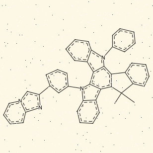 CC1(C)c2ccccc2-c2c1c1c3ccccc3n(-c3cccc(-c4cn5ccccc5n4)c3)c1c1c3ccccc3n(-c3ccccc3)c21